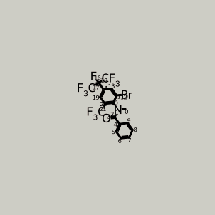 CN(C(=O)c1ccccc1)c1c(Br)cc(C(F)(C(F)(F)F)C(F)(F)F)cc1C(F)(F)F